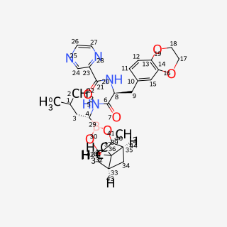 CC(C)C[C@H](NC(=O)[C@H](Cc1ccc2c(c1)OCCO2)NC(=O)c1cnccn1)B1O[C@@H]2C[C@@H]3C[C@@H](C3(C)C)[C@]2(C)O1